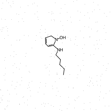 CCCCCNC1=CC=CCN1O